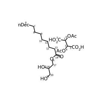 CC(=O)OC(C(=O)O)C(OC(C)=O)C(=O)O.CCCCCCCCCCCCCCCCCC(=O)OCC(O)CO